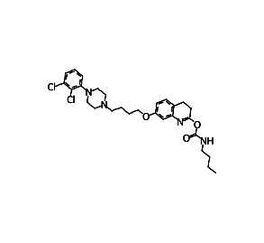 CCCCNC(=O)OC1=Nc2cc(OCCCCN3CCN(c4cccc(Cl)c4Cl)CC3)ccc2CC1